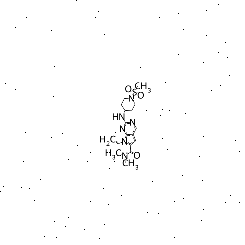 C=Cn1c(C(=O)N(C)C)cc2cnc(NC3CCN(S(C)(=O)=O)CC3)nc21